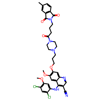 COc1cc(Nc2c(C#N)cnc3cc(OCCCN4CCN(C(=O)CCCN5C(=O)c6ccc(C)cc6C5=O)CC4)c(OC)cc23)c(Cl)cc1Cl